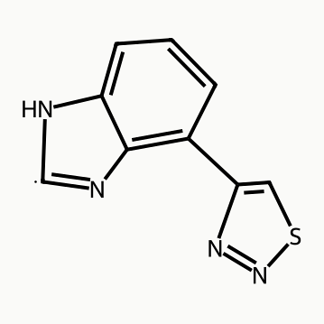 [c]1nc2c(-c3csnn3)cccc2[nH]1